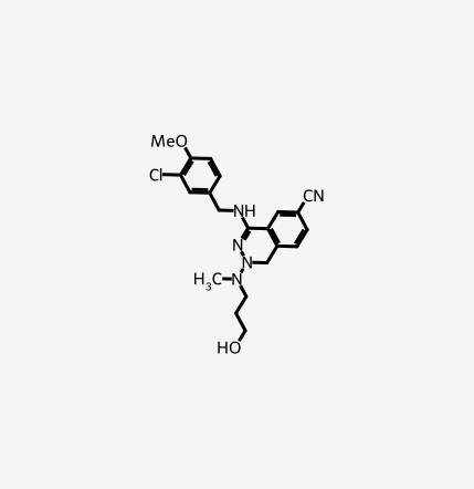 COc1ccc(CNC2=NN(N(C)CCCO)Cc3ccc(C#N)cc32)cc1Cl